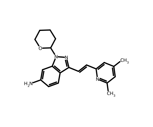 Cc1cc(C)nc(C=Cc2nn(C3CCCCO3)c3cc(N)ccc23)c1